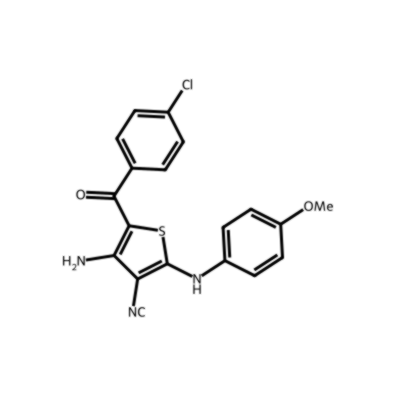 [C-]#[N+]c1c(Nc2ccc(OC)cc2)sc(C(=O)c2ccc(Cl)cc2)c1N